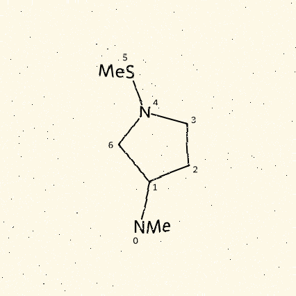 CNC1CCN(SC)C1